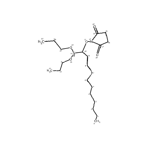 CCCCCCCCCCC(ON1C(=O)CCC1=O)[SiH](OCCC)OCCC